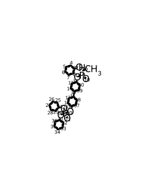 CC(Oc1ccccc1)[PH](=O)Oc1ccc(-c2ccc(OP(=O)(Oc3ccccc3)Oc3ccccc3)cc2)cc1